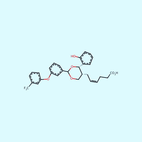 O=C(O)CC/C=C\C[C@@H]1COC(c2cccc(Oc3cccc(C(F)(F)F)c3)c2)O[C@@H]1c1ccccc1O